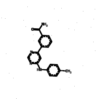 Cc1ccc(Nc2cc(-c3cccc(C(N)=O)c3)ncn2)cc1